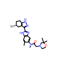 CC[C@H]1CCc2[nH]nc(-c3nc4cc(N(C)C(=O)CN5CCOC(C)(C)C5)c(C)cc4[nH]3)c2C1